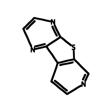 c1cc2c(cn1)sc1nccnc12